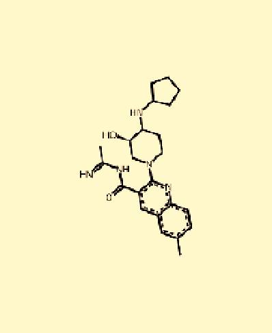 CC(=N)NC(=O)c1cc2cc(C)ccc2nc1N1CC[C@H](NC2CCCC2)[C@H](O)C1